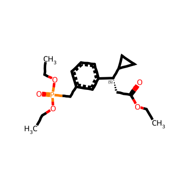 CCOC(=O)C[C@H](c1cccc(CP(=O)(OCC)OCC)c1)C1CC1